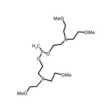 COCCN(CCOC)CCOP(C)OCCN(CCOC)CCOC